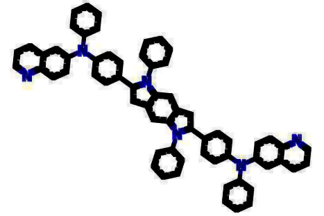 c1ccc(N(c2ccc(-c3cc4cc5c(cc(-c6ccc(N(c7ccccc7)c7ccc8ncccc8c7)cc6)n5-c5ccccc5)cc4n3-c3ccccc3)cc2)c2ccc3ncccc3c2)cc1